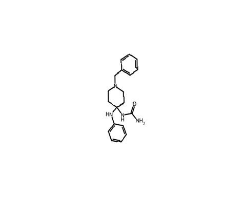 NC(=O)NC1(Nc2ccccc2)CCN(Cc2ccccc2)CC1